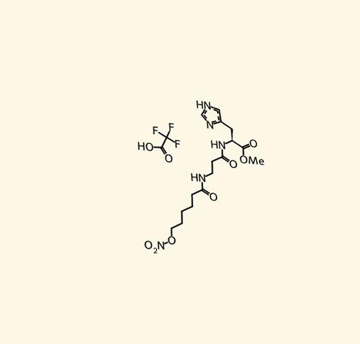 COC(=O)[C@H](Cc1c[nH]cn1)NC(=O)CCNC(=O)CCCCCO[N+](=O)[O-].O=C(O)C(F)(F)F